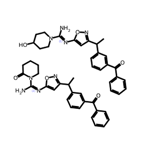 CC(c1cccc(C(=O)c2ccccc2)c1)c1cc(/N=C(/N)N2CCCCC2=O)on1.CC(c1cccc(C(=O)c2ccccc2)c1)c1cc(/N=C(\N)N2CCC(O)CC2)on1